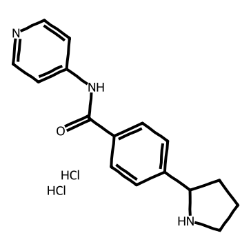 Cl.Cl.O=C(Nc1ccncc1)c1ccc(C2CCCN2)cc1